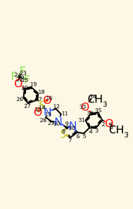 COc1cc(Cc2csc(N3CCN(S(=O)(=O)c4ccc(OC(F)(F)F)cc4)CC3)n2)cc(OC)c1